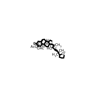 CC(=O)OC1(OC(C)=O)C[C@@]2(C)C(=CC[C@H]3[C@@H]4CC[C@H]([C@H](C)[C@H](O)C#CC(C)(C)C5CCCCO5)[C@@]4(C)CC[C@@H]32)CC1=O